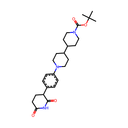 CC(C)(C)OC(=O)N1CCC(C2CCN(c3ccc(C4CCC(=O)NC4=O)cc3)CC2)CC1